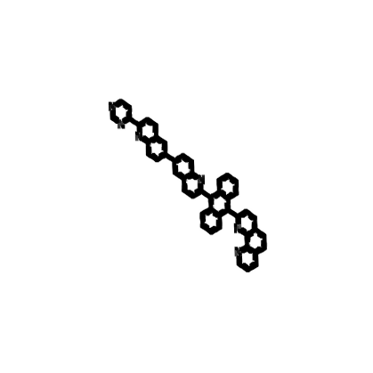 c1cnc2c(c1)ccc1ccc(-c3c4ccccc4c(-c4ccc5cc(-c6ccc7nc(-c8ccncn8)ccc7c6)ccc5n4)c4ccccc34)nc12